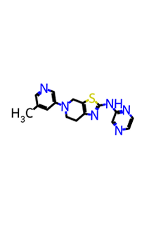 Cc1cncc(N2CCc3nc(Nc4cnccn4)sc3C2)c1